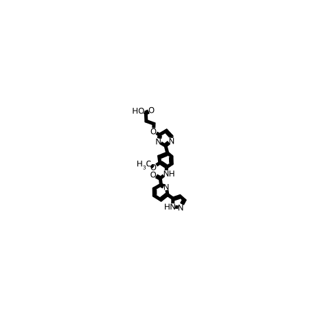 COc1cc(-c2nccc(OCCC(=O)O)n2)ccc1NC(=O)c1cccc(-c2ccn[nH]2)n1